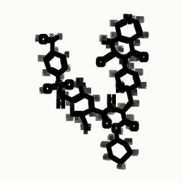 CC(=O)c1ccc(S(=O)(=O)Nc2cc(F)c(C(=O)N[C@@H](Cc3ccc(-n4c(=O)c5ccncc5n(C)c4=O)cn3)C(=O)OC3CCCCC3)cc2F)cc1